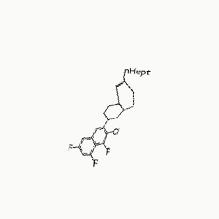 CCCCCCCC1CCC2CC(c3cc4cc(F)cc(F)c4c(F)c3Cl)CCC2C1